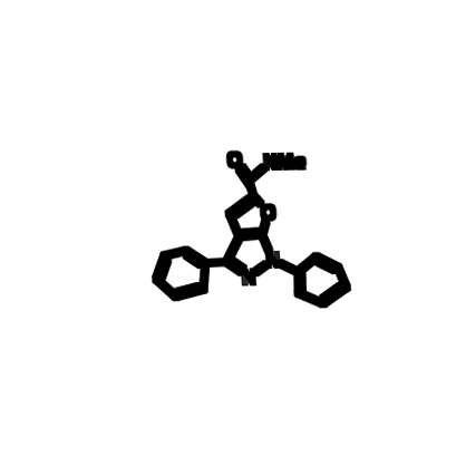 CNC(=O)c1cc2c(-c3ccccc3)nn(-c3ccccc3)c2o1